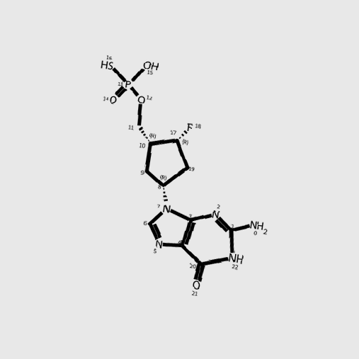 Nc1nc2c(ncn2[C@@H]2C[C@H](COP(=O)(O)S)[C@H](F)C2)c(=O)[nH]1